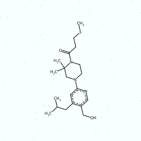 CSCCC(=O)N1CCN(c2cc(CC(C)C)c(CO)cn2)CC1(C)C